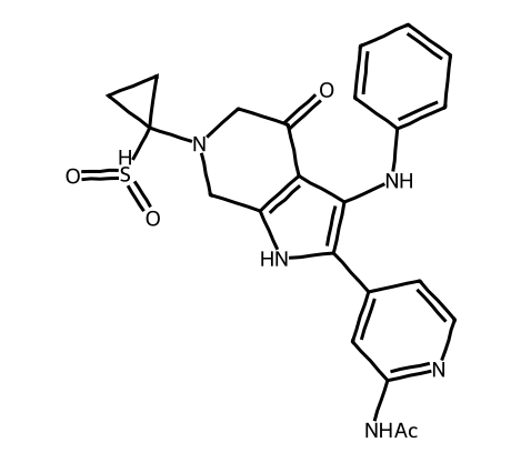 CC(=O)Nc1cc(-c2[nH]c3c(c2Nc2ccccc2)C(=O)CN(C2([SH](=O)=O)CC2)C3)ccn1